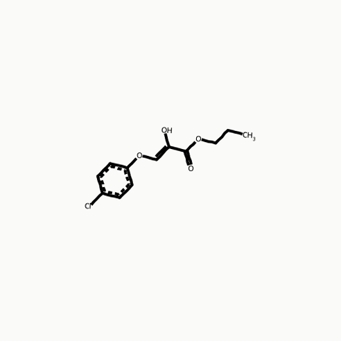 CCCOC(=O)C(O)=COc1ccc(Cl)cc1